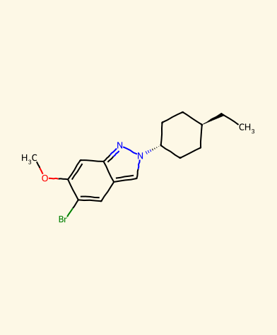 CC[C@H]1CC[C@H](n2cc3cc(Br)c(OC)cc3n2)CC1